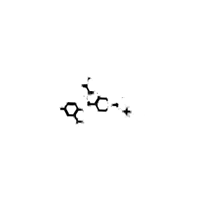 COC(=O)c1nc2c(c(Oc3ccc(F)cc3C(F)F)n1)CCN(C(=O)OC(C)(C)C)C2